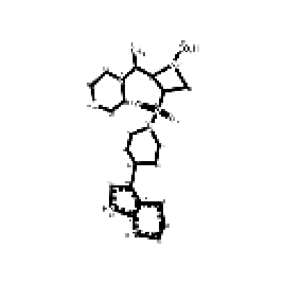 CC(C1C(S(=O)(=O)N2CCC(c3c[nH]c4ncccc34)CC2)CN1C(=O)O)N1CCOCC1